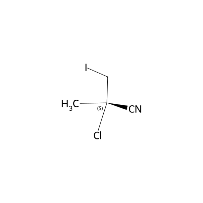 C[C@](Cl)(C#N)CI